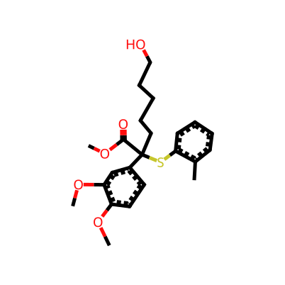 COC(=O)C(CCCCCO)(Sc1ccccc1C)c1ccc(OC)c(OC)c1